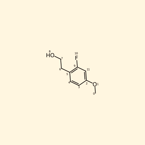 COc1ccc(CCO)c(F)c1